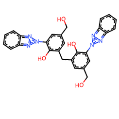 OCc1cc(Cc2cc(CO)cc(-n3n4c5ccccc5n34)c2O)c(O)c(-n2n3c4ccccc4n23)c1